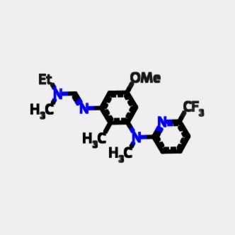 CCN(C)C=Nc1cc(OC)cc(N(C)c2cccc(C(F)(F)F)n2)c1C